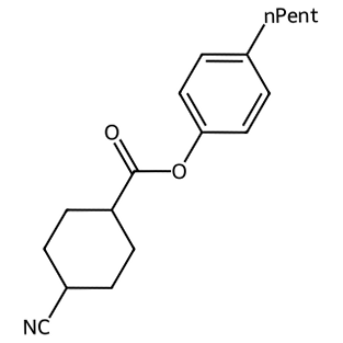 CCCCCc1ccc(OC(=O)C2CCC(C#N)CC2)cc1